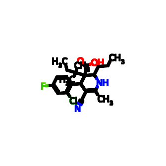 CCCC1NC(C)=C(C#N)C(c2ccc(F)cc2Cl)C1(C(=O)O)C(C)(C)CC